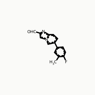 Cc1cc(-c2ccc3nc(C=O)cn3c2)ccc1F